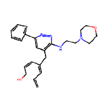 C=C/C=C(\C=C/CO)Cc1cc(-c2ccccc2)nnc1NCCN1CCOCC1